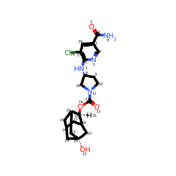 NC(=O)c1cnc(N[C@@H]2CCN(C(=O)O[C@H]3C4CC5CC3C[C@](O)(C5)C4)C2)c(Cl)c1